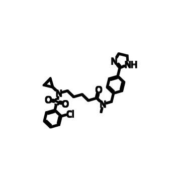 CN(Cc1ccc(C2=NCCN2)cc1)C(=O)CCCCN(C1CC1)S(=O)(=O)c1ccccc1Cl